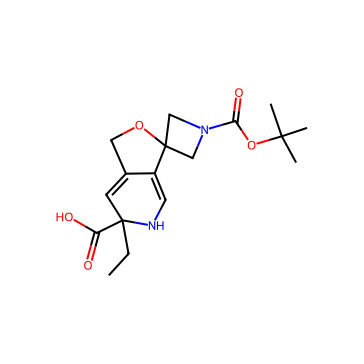 CCC1(C(=O)O)C=C2COC3(CN(C(=O)OC(C)(C)C)C3)C2=CN1